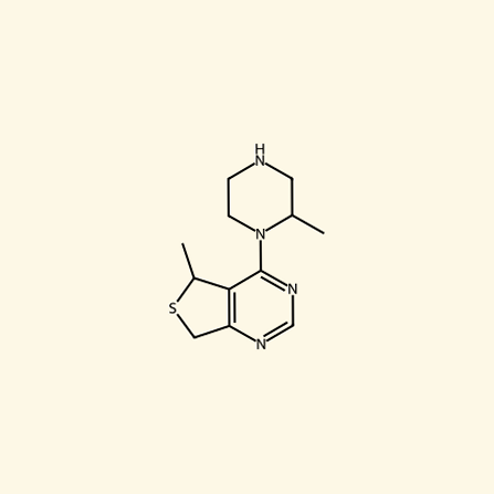 CC1SCc2ncnc(N3CCNCC3C)c21